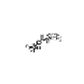 CC(C)(C)OC(=O)NCCNc1ccc(-c2nc3c(Cl)ncnc3[nH]2)cc1